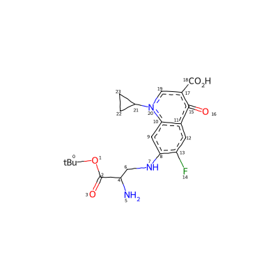 CC(C)(C)OC(=O)C(N)CNc1cc2c(cc1F)c(=O)c(C(=O)O)cn2C1CC1